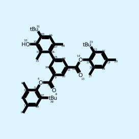 Cc1cc(C)c(OC(=O)c2cc(C(=O)Oc3c(C)cc(C)cc3C(C)(C)C)cc(-c3c(C)cc(C(C)(C)C)c(O)c3C)c2)c(C(C)(C)C)c1